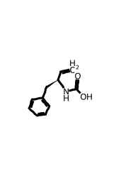 C=C[C@H](Cc1ccccc1)NC(=O)O